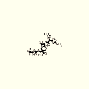 CON=C(C(=O)NC1C(=O)N2CC(CSc3nnc(C(F)(F)F)s3)(C(=O)O)CS[C@H]12)c1nsc(N)n1